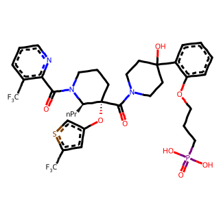 CCC[C@H]1N(C(=O)c2ncccc2C(F)(F)F)CCC[C@@]1(Oc1csc(C(F)(F)F)c1)C(=O)N1CCC(O)(c2ccccc2OCCCP(=O)(O)O)CC1